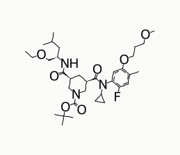 CCOC[C@@H](CC(C)C)NC(=O)[C@H]1C[C@@H](C(=O)N(c2cc(OCCCOC)c(C)cc2F)C2CC2)CN(C(=O)OC(C)(C)C)C1